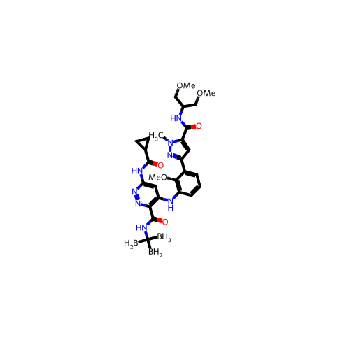 BC(B)(B)NC(=O)c1nnc(NC(=O)C2CC2)cc1Nc1cccc(-c2cc(C(=O)NC(COC)COC)n(C)n2)c1OC